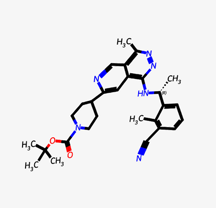 Cc1c(C#N)cccc1[C@@H](C)Nc1nnc(C)c2cnc(C3CCN(C(=O)OC(C)(C)C)CC3)cc12